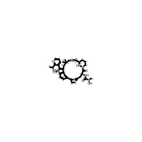 CCn1c(-c2cccnc2[C@H](C)OC)c2c3cc(ccc31)C1CSC(=N1)C[C@H](NC(=O)N(C)C(C)C)C(=O)N1CCC[C@@](C(=O)O)(COCC(C)(C)C2)N1